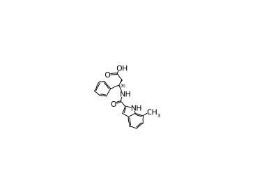 Cc1cccc2cc(C(=O)N[C@H](CC(=O)O)c3ccccc3)[nH]c12